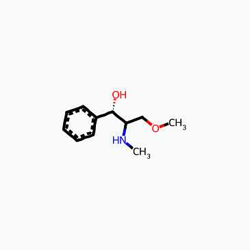 CNC(COC)[C@@H](O)c1ccccc1